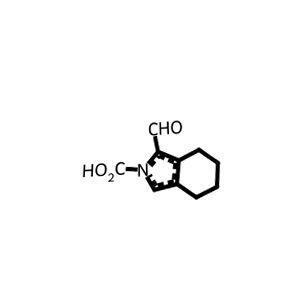 O=Cc1c2c(cn1C(=O)O)CCCC2